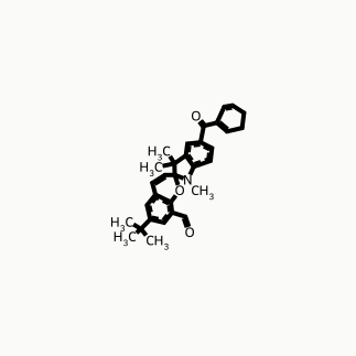 CN1c2ccc(C(=O)C3=CCCC=C3)cc2C(C)(C)C12C=Cc1cc(C(C)(C)C)cc(C=O)c1O2